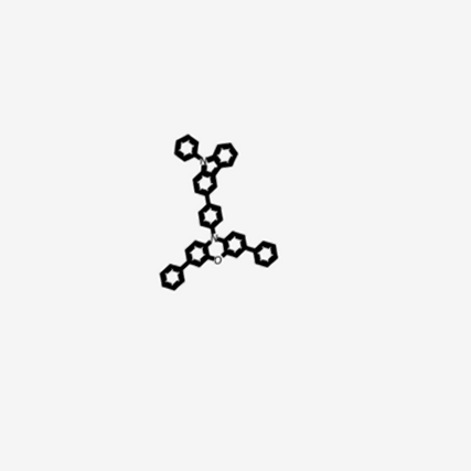 c1ccc(-c2ccc3c(c2)Oc2cc(-c4ccccc4)ccc2N3c2ccc(-c3ccc4c(c3)c3ccccc3n4-c3ccccc3)cc2)cc1